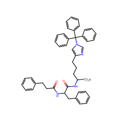 O=C(CCc1ccccc1)NC(Cc1ccccc1)C(=O)NC(CCCc1cn(C(c2ccccc2)(c2ccccc2)c2ccccc2)cn1)C(=O)O